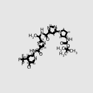 CC(NC(=O)c1cc(N2CCC(NC(=O)OC(C)(C)C)C2)ncn1)c1ncc(C(=O)Nc2cc(C(F)(F)F)c(Cl)cn2)s1